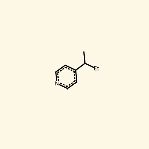 CCC(C)c1c[c]ncc1